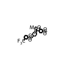 COc1cc(S(C)(=O)=O)ccc1C(=O)N1CCC(CS(=O)(=O)c2cccc(C(F)(F)F)c2)CC1